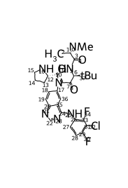 CN[C@@H](C)C(=O)N[C@H](C(=O)N(C(=O)[C@@H]1CCCN1)c1ccc2ncnc(Nc3ccc(F)c(Cl)c3F)c2c1)C(C)(C)C